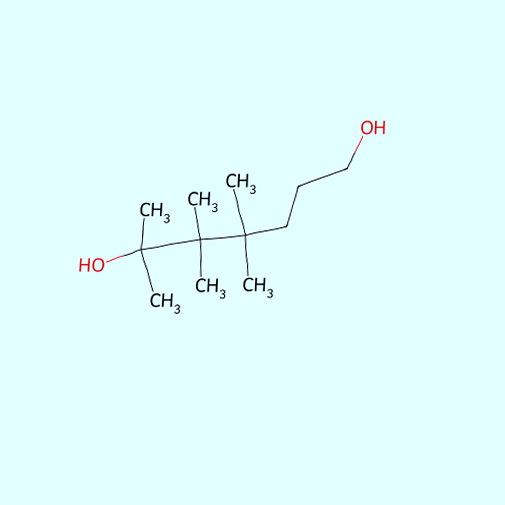 CC(C)(O)C(C)(C)C(C)(C)CCCO